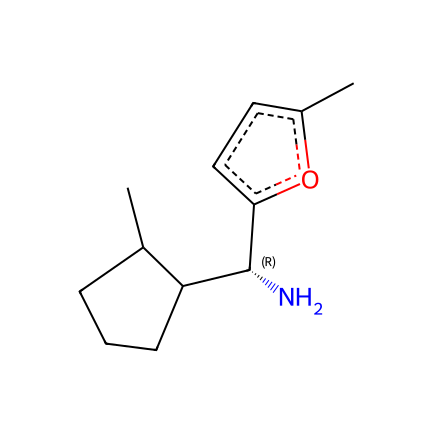 Cc1ccc([C@H](N)C2CCCC2C)o1